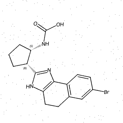 O=C(O)N[C@H]1CCC[C@H]1c1nc2c([nH]1)CCc1cc(Br)ccc1-2